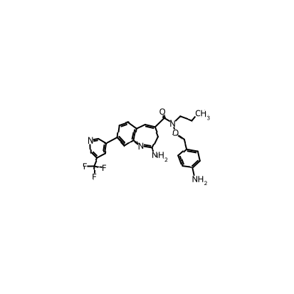 CCCN(OCc1ccc(N)cc1)C(=O)C1=Cc2ccc(-c3cncc(C(F)(F)F)c3)cc2N=C(N)C1